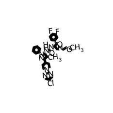 COCCN1C[C@@H](NC(=O)Nc2c(C)c(C3=CCN(c4ncc(Cl)cn4)CC3)nn2-c2ccccc2)[C@H](c2ccc(F)c(F)c2)O1